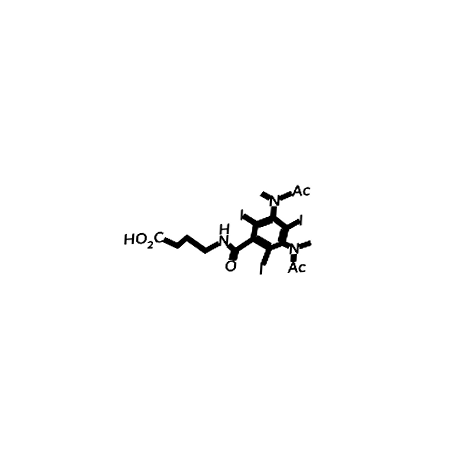 CC(=O)N(C)c1c(I)c(C(=O)NCCCC(=O)O)c(I)c(N(C)C(C)=O)c1I